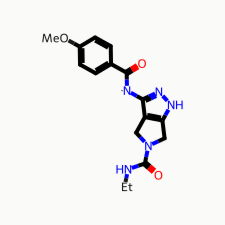 CCNC(=O)N1Cc2[nH]nc([N]C(=O)c3ccc(OC)cc3)c2C1